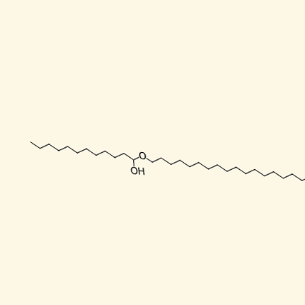 CCCCCCCCCCCCCCCCCCOC(O)CCCCCCCCCCC